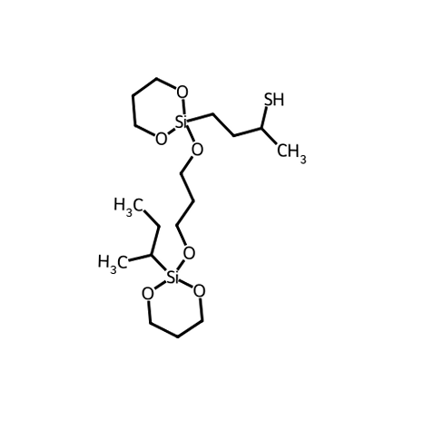 CCC(C)[Si]1(OCCCO[Si]2(CCC(C)S)OCCCO2)OCCCO1